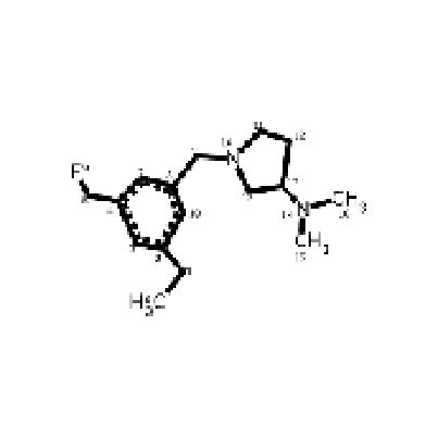 CCc1cc(CF)cc(CN2CC[C@@H](N(C)C)C2)c1